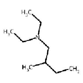 CCC(C)CN(CC)CC